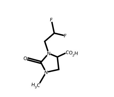 CN1CC(C(=O)O)N(CC(F)F)C1=O